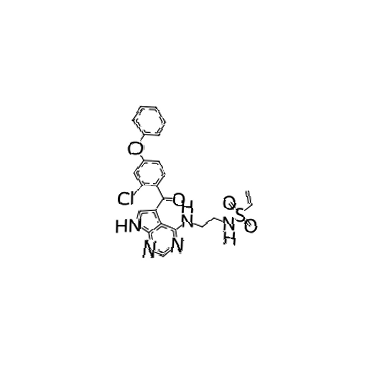 C=CS(=O)(=O)NCCNc1ncnc2[nH]cc(C(=O)c3ccc(Oc4ccccc4)cc3Cl)c12